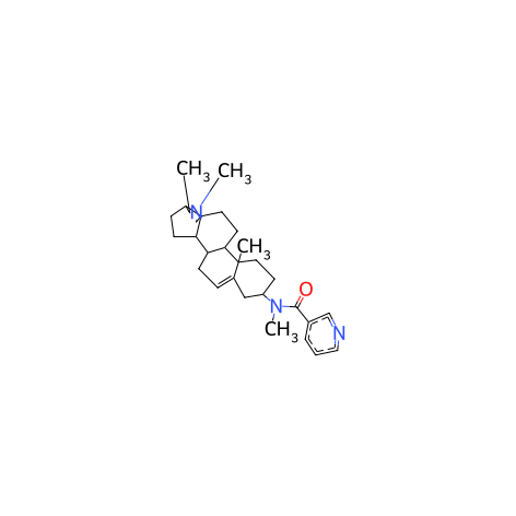 CC1C2CCC3C4CC=C5CC(N(C)C(=O)c6cccnc6)CCC5(C)C4CCC32CN1C